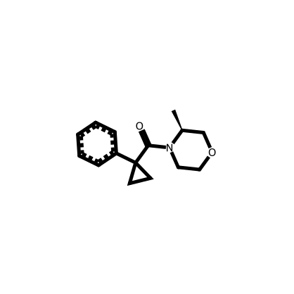 C[C@H]1COCCN1C(=O)C1(c2ccccc2)CC1